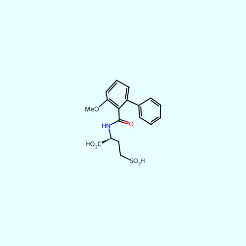 COc1cccc(-c2ccccc2)c1C(=O)N[C@@H](CCS(=O)(=O)O)C(=O)O